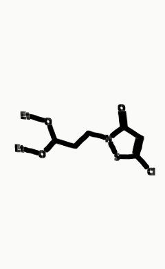 CCOC(CCn1sc(Cl)cc1=O)OCC